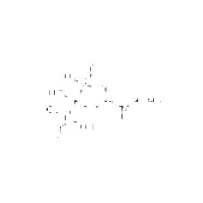 CCCCCNCCC(O)(P(=O)(O)O)P(=O)(O)O